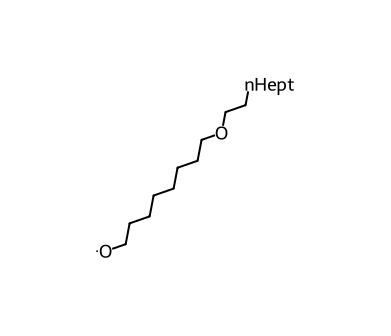 CCCCCCCCCOCCCCCCCC[O]